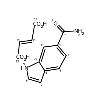 NC(=O)c1ccc2cc[nH]c2c1.O=C(O)/C=C/C(=O)O